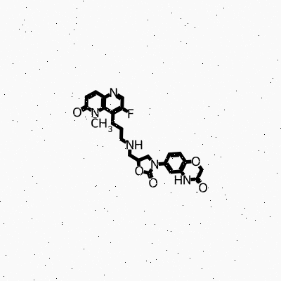 Cn1c(=O)ccc2ncc(F)c(CCCNCC3CN(c4ccc5c(c4)NC(=O)CO5)C(=O)O3)c21